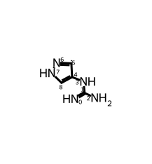 N=C(N)Nc1[c]n[nH]c1